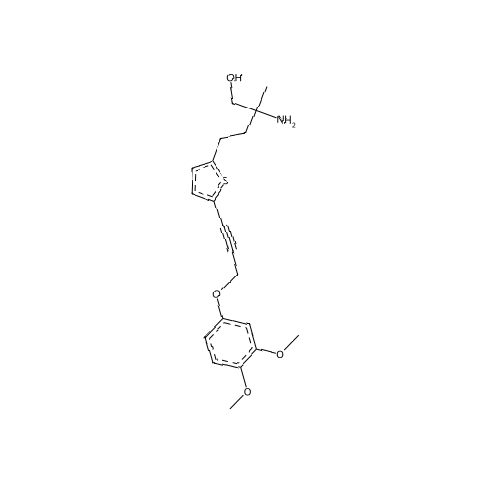 COc1ccc(OCC#Cc2ccc(CCC(C)(N)CO)s2)cc1OC